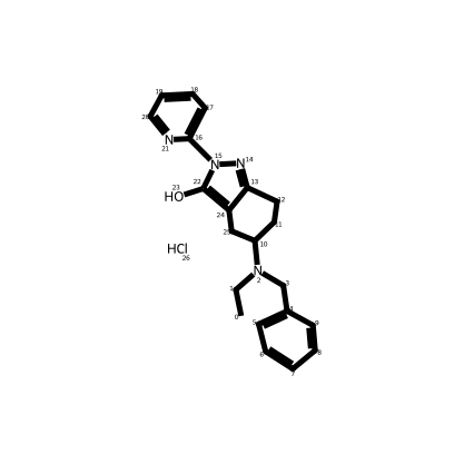 CCN(Cc1ccccc1)C1CCc2nn(-c3ccccn3)c(O)c2C1.Cl